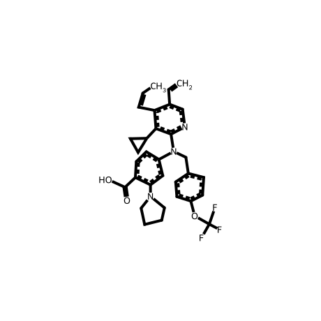 C=Cc1cnc(N(Cc2ccc(OC(F)(F)F)cc2)c2ccc(C(=O)O)c(N3CCCC3)c2)c(C2CC2)c1/C=C\C